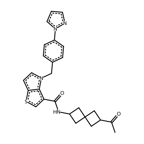 CC(=O)C1CC2(CC(NC(=O)c3csc4ccn(Cc5ccc(-n6cccn6)cc5)c34)C2)C1